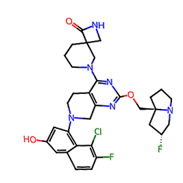 O=C1NCC12CCCN(c1nc(OC[C@@]34CCCN3C[C@H](F)C4)nc3c1CCN(c1cc(O)cc4ccc(F)c(Cl)c14)C3)C2